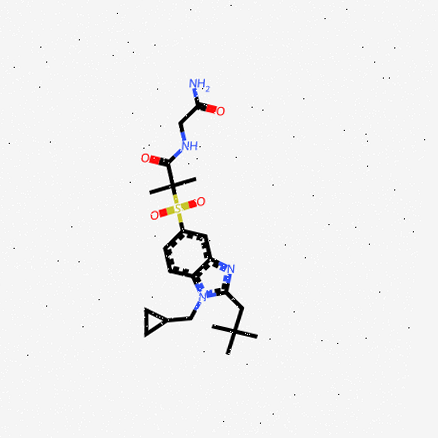 CC(C)(C)Cc1nc2cc(S(=O)(=O)C(C)(C)C(=O)NCC(N)=O)ccc2n1CC1CC1